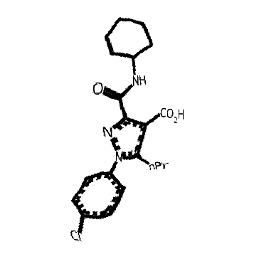 CCCc1c(C(=O)O)c(C(=O)NC2CCCCC2)nn1-c1ccc(Cl)cc1